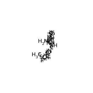 CSc1cc(N2CCN(CCNc3nc(N)n4nc(-c5ccco5)nc4n3)CC2)c(F)cc1F